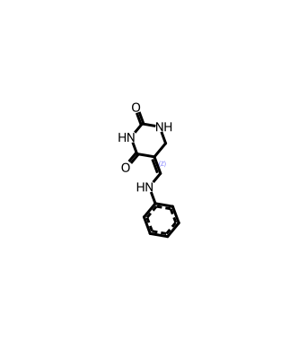 O=C1NC/C(=C/Nc2ccccc2)C(=O)N1